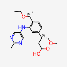 CCO[C@H](C)c1ccc([C@H](COC)CC(=O)O)cc1Nc1cnc(C)nc1